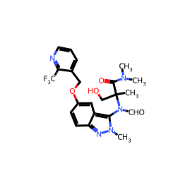 CN(C)C(=O)C(C)(CO)N(C=O)c1c2cc(OCc3cccnc3C(F)(F)F)ccc2nn1C